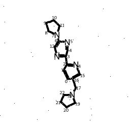 c1cc(-c2cnc(N3CCCC3)cn2)ncc1CN1CCCC1